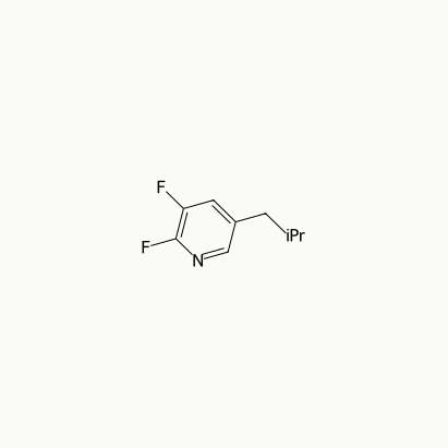 CC(C)Cc1cnc(F)c(F)c1